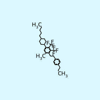 CCCCCC1CCC(c2cc(C)c(CCc3ccc(CCC)cc3)c(C(F)(F)F)c2C(F)(F)F)CC1